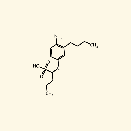 CCCCc1cc(OC(CCC)S(=O)(=O)O)ccc1N